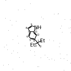 CCC(C)(CC)c1ccc2cc[nH]c2c1